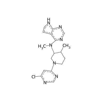 CC1CCN(c2cc(Cl)ncn2)CC1N(C)c1ncnc2[nH]ccc12